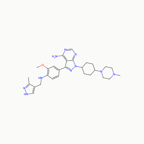 COc1cc(-c2nn(C3CCC(N4CCN(C)CC4)CC3)c3ncnc(N)c23)ccc1NCc1c[nH]nc1C